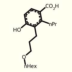 CCCCCCOCCCc1c(O)ccc(C(=O)O)c1CCC